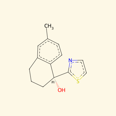 Cc1ccc2c(c1)CCC[C@]2(O)c1nccs1